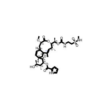 CNS(=O)(=O)CCNC(=O)O[C@H](C)[C@H]1OC(=O)[C@@H](OC)C[C@H]2C=C[C@@H]3C[C@]2(O[C@H]3[C@H](OC(=O)c2ccc[nH]2)[C@H](C)[C@H](C)O)/C(C)=C/[C@H]1C